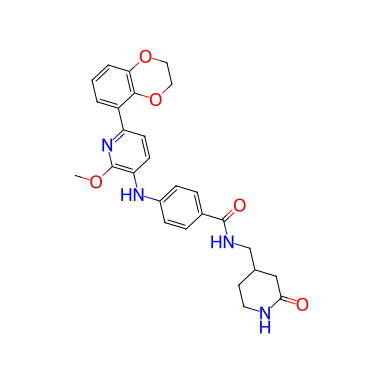 COc1nc(-c2cccc3c2OCCO3)ccc1Nc1ccc(C(=O)NCC2CCNC(=O)C2)cc1